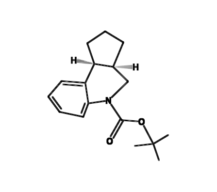 CC(C)(C)OC(=O)N1C[C@@H]2CCC[C@@H]2c2ccccc21